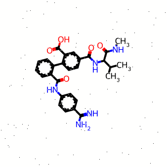 CNC(=O)C(NC(=O)c1ccc(-c2ccccc2C(=O)Nc2ccc(C(=N)N)cc2)c(C(=O)O)c1)C(C)C